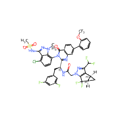 Cn1nc(NS(C)(=O)=O)c2c(Cl)ccc(-n3c([C@H](Cc4cc(F)cc(F)c4)NC(=O)Cn4nc(C(F)F)c5c4C(F)(F)[C@@H]4C[C@H]54)nc4cc(-c5ccccc5OC(F)(F)F)ccc4c3=O)c21